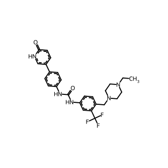 CCN1CCN(Cc2ccc(NC(=O)Nc3ccc(-c4ccc(=O)[nH]c4)cc3)cc2C(F)(F)F)CC1